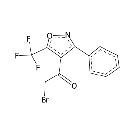 O=C(CBr)c1c(-c2ccccc2)noc1C(F)(F)F